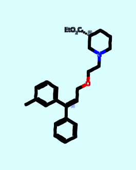 CCOC(=O)[C@@H]1CCCN(CCOC/C=C(/c2ccccc2)c2cccc(C)c2)C1